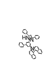 C1=C(c2ccccc2)N=C(c2cc(-c3ccccc3)cc(-n3c4ccc5ccccc5c4c4c5ccccc5ccc43)c2)NC1c1ccccc1